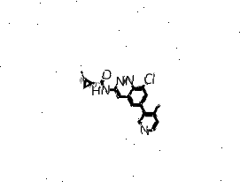 Cc1ccncc1-c1cc(Cl)c2nnc(NC(=O)[C@@H]3C[C@H]3C)cc2c1